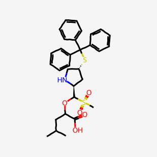 CC(C)CC(OC([C@@H]1C[C@@H](SC(c2ccccc2)(c2ccccc2)c2ccccc2)CN1)S(C)(=O)=O)C(=O)O